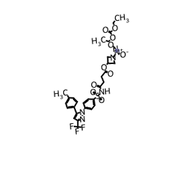 CCOC(=O)OC(C)O/N=[N+](/[O-])N1CC(OC(=O)CCC(=O)NS(=O)(=O)c2ccc(-n3nc(C(F)(F)F)cc3-c3ccc(C)cc3)cc2)C1